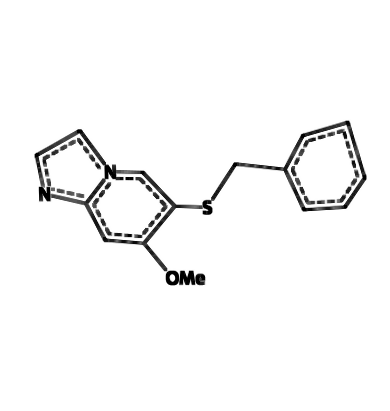 COc1cc2nccn2cc1SCc1ccccc1